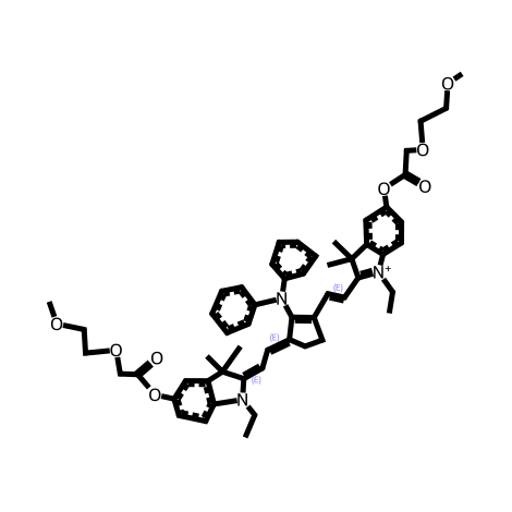 CCN1/C(=C/C=C2\CCC(/C=C/C3=[N+](CC)c4ccc(OC(=O)COCCOC)cc4C3(C)C)=C2N(c2ccccc2)c2ccccc2)C(C)(C)c2cc(OC(=O)COCCOC)ccc21